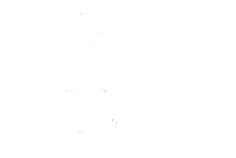 CN(C)C(=O)N(C)c1cc(Br)cc(C(F)(F)F)c1